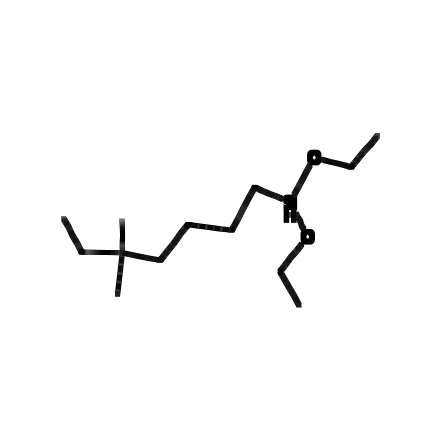 CCO[SiH](CCCCC(C)(C)CC)OCC